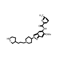 COc1cc2nn(C3CCN(CCCC4CCNCC4)CC3)cc2cc1NC(=O)c1cccc(C)n1